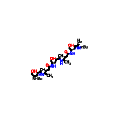 C=C(CC[C@@H](CO)NC(=O)CCC(C)NC(=C)CC[C@@H](CO)NC(=O)CCC(C)NC(=C)CC[C@@H](CO)NC(C)=O)NCCCC